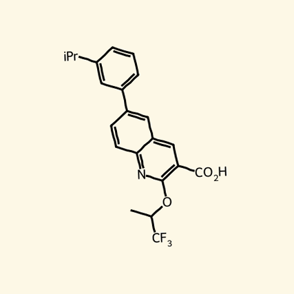 CC(C)c1cccc(-c2ccc3nc(OC(C)C(F)(F)F)c(C(=O)O)cc3c2)c1